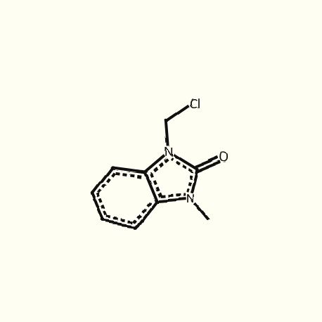 Cn1c(=O)n(CCl)c2ccccc21